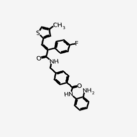 Cc1csc(C=C(C(=O)NCc2ccc(C(=O)Nc3ccccc3N)cc2)c2ccc(F)cc2)c1